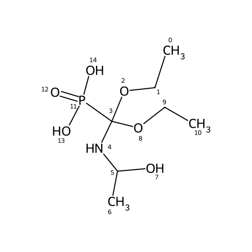 CCOC(NC(C)O)(OCC)P(=O)(O)O